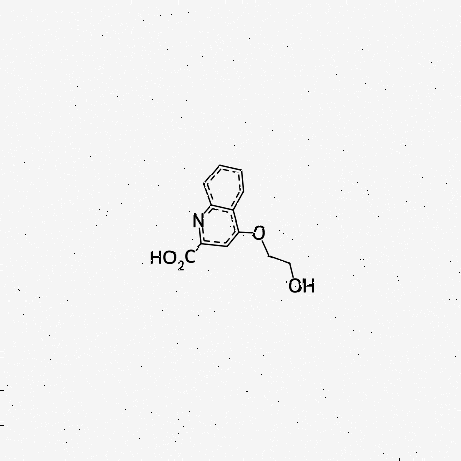 O=C(O)c1cc(OCCO)c2ccccc2n1